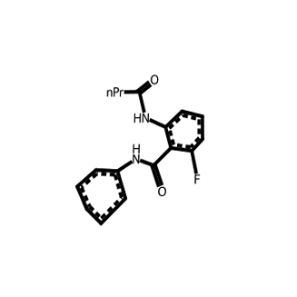 CCCC(=O)Nc1cccc(F)c1C(=O)Nc1ccccc1